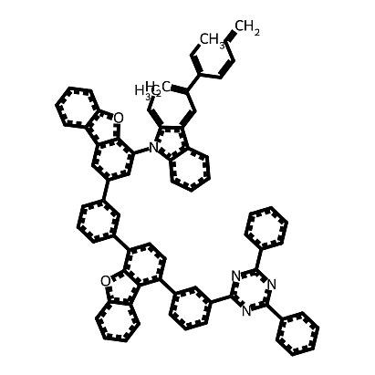 C=C/C=C\C(=C/C)C(=C)/C=c1\c(=C/C)n(-c2cc(-c3cccc(-c4ccc(-c5cccc(-c6nc(-c7ccccc7)nc(-c7ccccc7)n6)c5)c5c4oc4ccccc45)c3)cc3c2oc2ccccc23)c2ccccc12